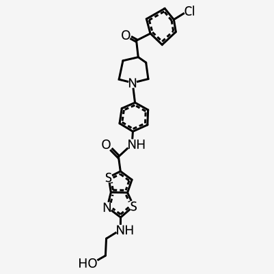 O=C(Nc1ccc(N2CCC(C(=O)c3ccc(Cl)cc3)CC2)cc1)c1cc2sc(NCCO)nc2s1